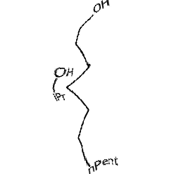 CC(C)O.CCCCCCCCCCO